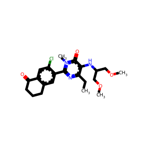 CCc1nc(-c2cc3c(cc2Cl)C(=O)CCC3)n(C)c(=O)c1NC(COC)COC